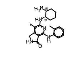 Cc1ccccc1Nc1nc(N[C@@H]2CCCC[C@@H]2N)c(I)c2c1C(=O)NC2